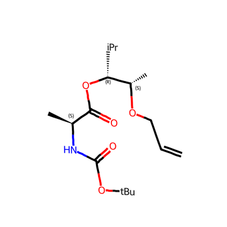 C=CCO[C@@H](C)[C@H](OC(=O)[C@H](C)NC(=O)OC(C)(C)C)C(C)C